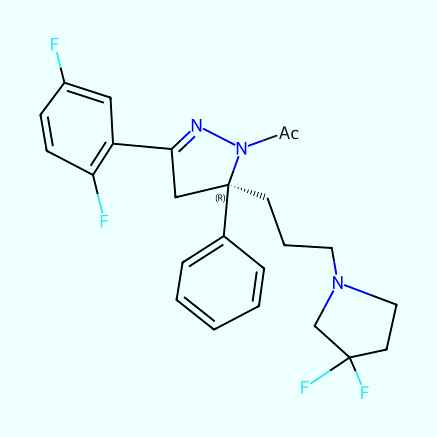 CC(=O)N1N=C(c2cc(F)ccc2F)C[C@]1(CCCN1CCC(F)(F)C1)c1ccccc1